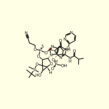 CC(C)C(=O)Nc1nc2c(ncn2[C@@H]2O[C@@H]3C(O)C3(O[Si](C)(C)C(C)(C)C)[C@H]2OP(=S)(OCCC#N)OC[C@H]2C[C@@H](Oc3ccncn3)C[C@@H]2O[PH](=O)O)c(=O)[nH]1